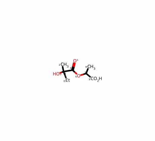 CCC(C)(O)C(=O)OC(C)C(=O)O